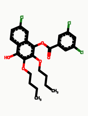 CCCCOc1c(OCCCC)c(OC(=O)c2cc(Cl)cc(Cl)c2)c2cc(Cl)ccc2c1O